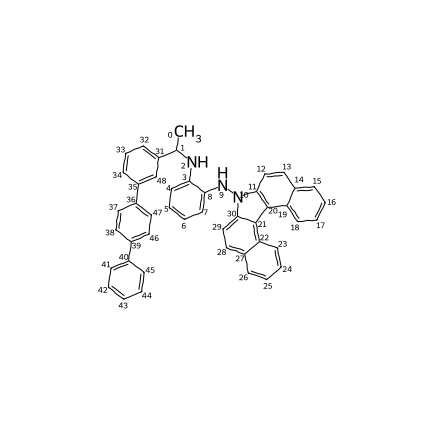 CC(Nc1ccccc1Nn1c2ccc3ccccc3c2c2c3ccccc3ccc21)c1cccc(-c2ccc(-c3ccccc3)cc2)c1